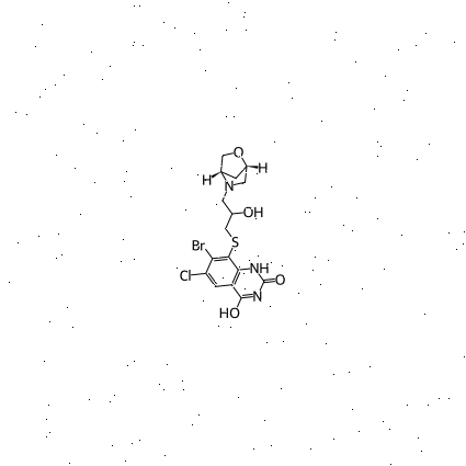 O=c1nc(O)c2cc(Cl)c(Br)c(SCC(O)CN3C[C@@H]4C[C@H]3CO4)c2[nH]1